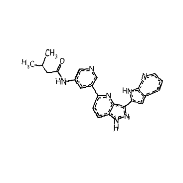 CC(C)CC(=O)Nc1cncc(-c2ccc3[nH]nc(-c4cc5cccnc5[nH]4)c3n2)c1